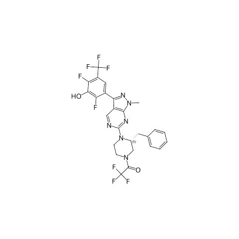 Cn1nc(-c2cc(C(F)(F)F)c(F)c(O)c2F)c2cnc(N3CCN(C(=O)C(F)(F)F)C[C@H]3Cc3ccccc3)nc21